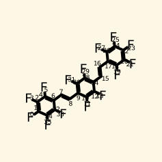 Fc1c(F)c(F)c(/C=C/c2c(F)c(F)c(/C=C/c3c(F)c(F)c(F)c(F)c3F)c(F)c2F)c(F)c1F